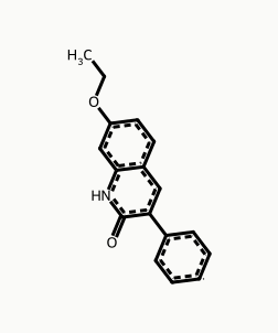 CCOc1ccc2cc(-c3cc[c]cc3)c(=O)[nH]c2c1